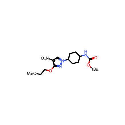 COCCOc1nn(C2CCC(NC(=O)OC(C)(C)C)CC2)cc1[N+](=O)[O-]